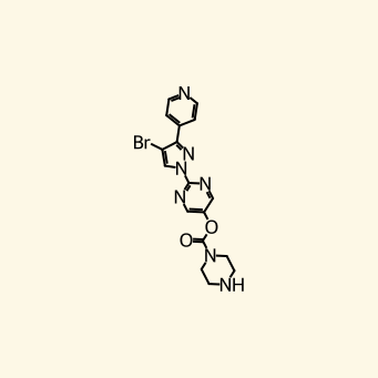 O=C(Oc1cnc(-n2cc(Br)c(-c3ccncc3)n2)nc1)N1CCNCC1